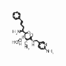 C[C@H](NC(=O)C(N)C/C=C/c1ccccc1)C(=O)NCc1ccc(N)nc1.Cl.Cl